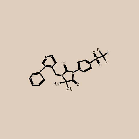 CC1(C)C(=O)N(c2ccc(S(=O)(=O)C(F)(F)F)cc2)C(=O)N1Cc1ccncc1-c1ccccc1